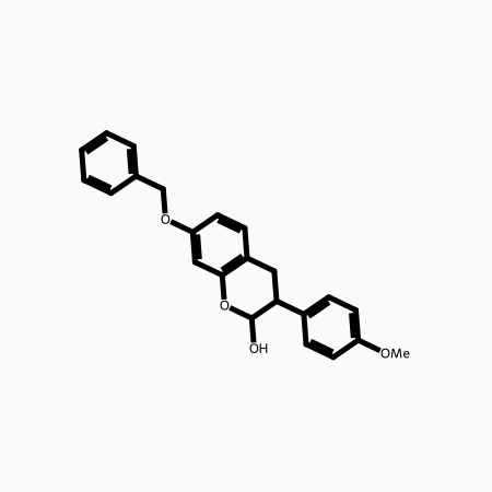 COc1ccc(C2Cc3ccc(OCc4ccccc4)cc3OC2O)cc1